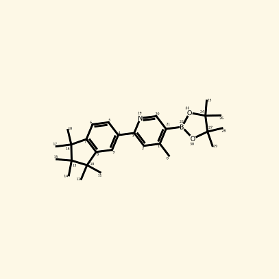 Cc1cc(-c2ccc3c(c2)C(C)(C)C(C)(C)C3(C)C)ncc1B1OC(C)(C)C(C)(C)O1